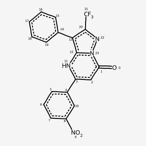 O=c1cc(-c2cccc([N+](=O)[O-])c2)[nH]c2c(-c3ccccc3)c(C(F)(F)F)nn12